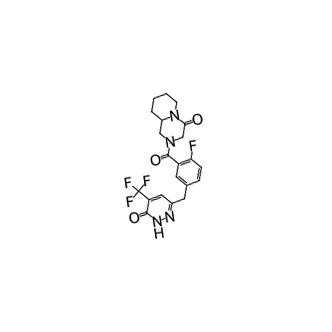 O=C(c1cc(Cc2cc(C(F)(F)F)c(=O)[nH]n2)ccc1F)N1CC(=O)N2CCCCC2C1